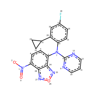 O=[N+]([O-])c1ccc(N(c2ncccn2)c2ccc(F)cc2C2CC2)c2nonc12